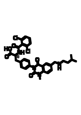 CC(C)CCNCc1ccc2c(c1)c(=O)n(-c1ccc(C[C@H](NC(=O)c3c(Cl)cccc3Cl)C(=O)O)cc1)c(=O)n2C